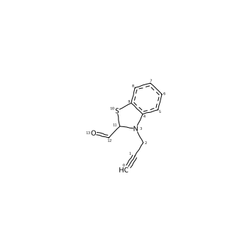 C#CCN1c2ccccc2SC1C=O